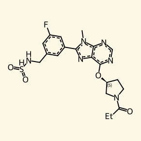 CCC(=O)N1CC[C@H](Oc2ncnc3c2nc(-c2cc(F)cc(CN[SH](=O)=O)c2)n3C)C1